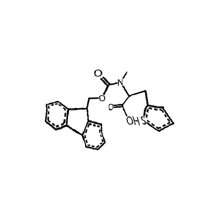 CN(C(=O)OCC1c2ccccc2-c2ccccc21)C(Cc1cccs1)C(=O)O